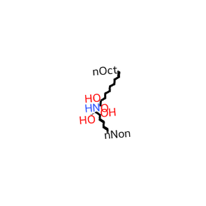 CCCCCCCC/C=C\CCCCCCC(O)C(=O)N[C@@H](CO)[C@H](O)/C=C/C=C/CCCCCCCCC